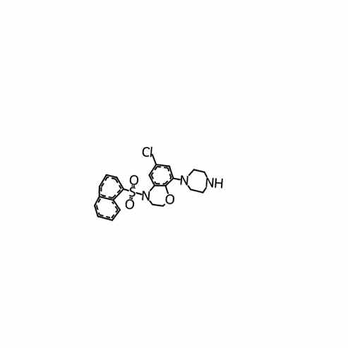 O=S(=O)(c1cccc2ccccc12)N1CCOc2c(N3CCNCC3)cc(Cl)cc21